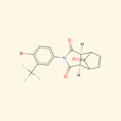 O=C1C2C=CC1[C@@H]1C(=O)N(c3ccc(Br)c(C(F)(F)F)c3)C(=O)[C@H]21